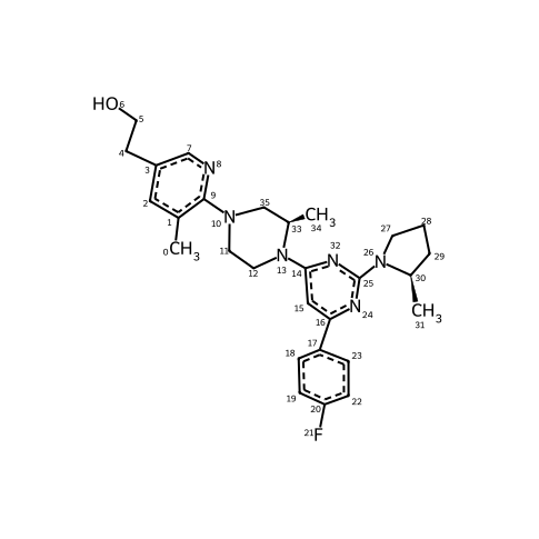 Cc1cc(CCO)cnc1N1CCN(c2cc(-c3ccc(F)cc3)nc(N3CCC[C@H]3C)n2)[C@H](C)C1